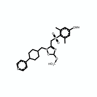 COc1cc(C)c(S(=O)(=O)CC2=NC(OC(=O)O)ON2CC2CCC(c3ccncc3)CC2)c(C)c1